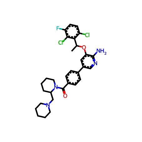 CC(Oc1cc(-c2ccc(C(=O)N3CCCCC3CN3CCCCC3)cc2)cnc1N)c1c(Cl)ccc(F)c1Cl